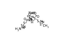 Cc1nnc(SCC2=C(C(=O)O)N3C(=O)[C@@H]4[C@H]3[C@H](C2)CN4C(=O)CSc2nnc(N)s2)s1.[NaH]